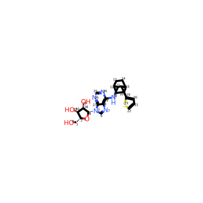 OC[C@H]1O[C@@H](n2cnc3c(NC4C5CCC(CC5)C4c4cccs4)ncnc32)[C@H](O)[C@@H]1O